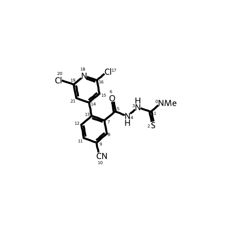 CNC(=S)NNC(=O)c1cc(C#N)ccc1-c1cc(Cl)nc(Cl)c1